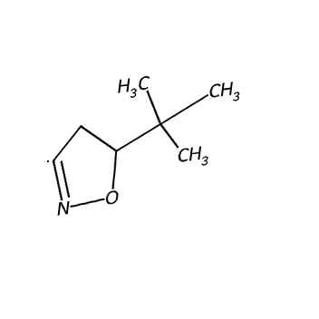 CC(C)(C)C1C[C]=NO1